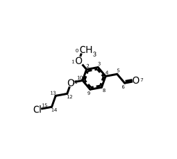 COc1cc(CC=O)ccc1OCCCCl